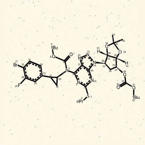 CCCSc1nc(N(C(=O)OC(C)(C)C)C2CC2c2ccc(Br)c(F)c2)c2nnn([C@@H]3C[C@H](OC(=O)OC(C)(C)C)[C@H]4OC(C)(C)O[C@H]43)c2n1